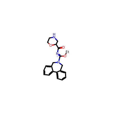 CCO/C(=N\C(=O)C1CNCCO1)N1Cc2ccccc2-c2ccccc2C1